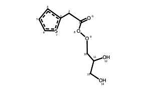 O=C(Cc1cccs1)OOCC(O)CO